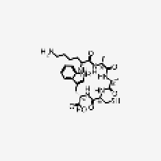 C[C@H](NC(=O)[C@H](C)NC(=O)[C@@H](N)CCCCN)C(=O)N[C@@H](CS)C(=O)N[C@@H](Cc1c[nH]c2ccccc12)C(=O)O